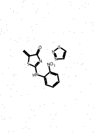 C=C1SC(Nc2ccccc2[N+](=O)[O-])=NC1=O.c1csnn1